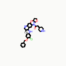 N#Cc1cnc2cc(OC3CCOC3)c(NC(=O)C=C3CCNCC3)cc2c1Nc1ccc(OCc2ccccc2)c(Cl)c1